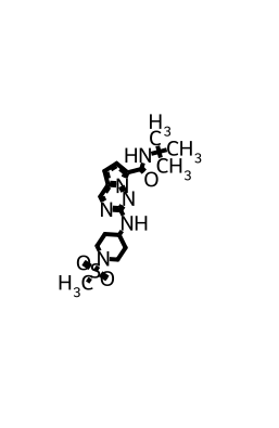 CC(C)(C)NC(=O)c1ccc2cnc(NC3CCN(S(C)(=O)=O)CC3)nn12